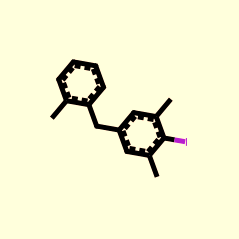 Cc1ccccc1Cc1cc(C)c(I)c(C)c1